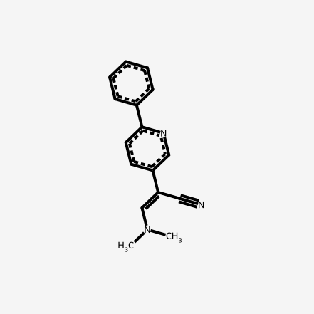 CN(C)C=C(C#N)c1ccc(-c2ccccc2)nc1